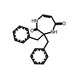 O=C1C=CNC(=O)C(Cc2ccccc2)(Cc2ccccc2)N1